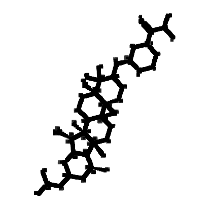 CC(C)C(=O)N1CCO[C@@H](OC2CC[C@]34C[C@]35CC[C@]3(C)C6C(OC(CN(C)C)C[C@H]6C)[C@H](O)[C@@]3(C)C5CC[C@H]4C2(C)C)C1